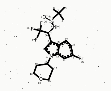 CC(C)(C)[S@+]([O-])N[C@@H](c1cn(C2CCOCC2)c2cc(Br)ccc12)C(F)(F)F